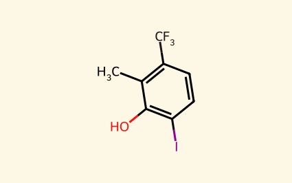 Cc1c(C(F)(F)F)ccc(I)c1O